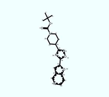 CC(C)(C)OC(=O)N1CCC(c2noc(-c3cc4cnccc4o3)n2)CC1